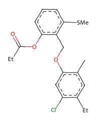 CCC(=O)Oc1cccc(SC)c1COc1cc(Cl)c(CC)cc1C